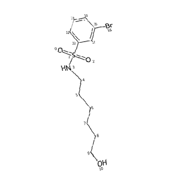 O=S(=O)(NCCCCCCO)c1cccc(Br)c1